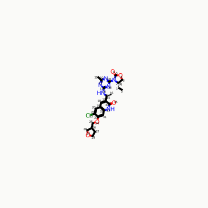 CC[C@H]1COC(=O)N1c1nc(C)nc(N[C@@H](C)c2cc3cc(Cl)c(OCC4CCOC4)cc3[nH]c2=O)n1